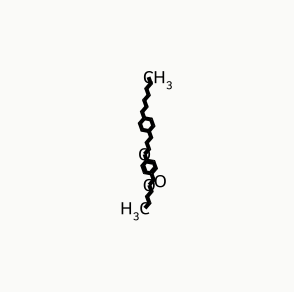 CCCCCCCC1CCC(CCCOc2ccc(C(=O)OCCCC)cc2)CC1